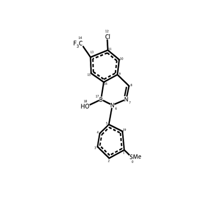 CSc1cccc(N2N=Cc3cc(Cl)c(C(F)(F)F)cc3B2O)c1